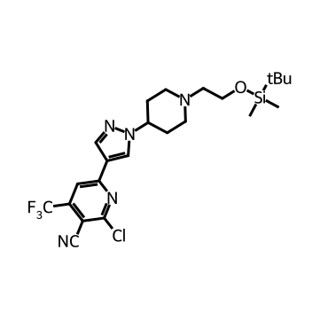 CC(C)(C)[Si](C)(C)OCCN1CCC(n2cc(-c3cc(C(F)(F)F)c(C#N)c(Cl)n3)cn2)CC1